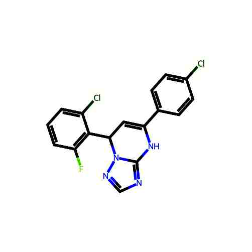 Fc1cccc(Cl)c1C1C=C(c2ccc(Cl)cc2)Nc2ncnn21